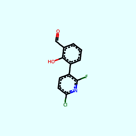 O=Cc1cccc(-c2ccc(Cl)nc2F)c1O